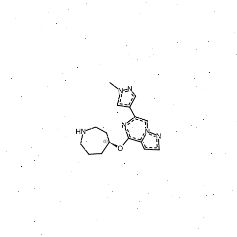 Cn1cc(-c2cn3nccc3c(O[C@H]3CCCNCC3)n2)cn1